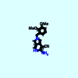 COc1cccc(CN2C=C3C(=CNC(N)=C3C#N)C2)c1OC